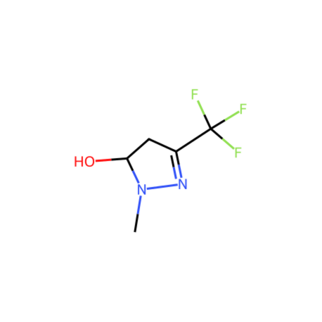 CN1N=C(C(F)(F)F)CC1O